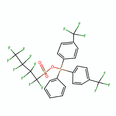 O=S(=O)(OS(c1ccccc1)(c1ccc(C(F)(F)F)cc1)c1ccc(C(F)(F)F)cc1)C(F)(F)C(F)(F)C(F)(F)C(F)(F)F